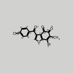 CC1=C(Br)c2occ(C(=O)c3ccc(Cl)cc3)c2C(=O)C1=O